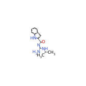 CC(C)NC(N)=NC(=O)c1cc2ccccc2[nH]1